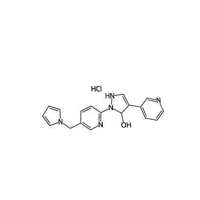 Cl.OC1C(c2cccnc2)=CNN1c1ccc(Cn2cccc2)cn1